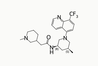 C[C@H]1C[C@@H](NC(=O)CC2CCCN(C)C2)CN(c2ccc(C(F)(F)F)c3ncccc23)C1